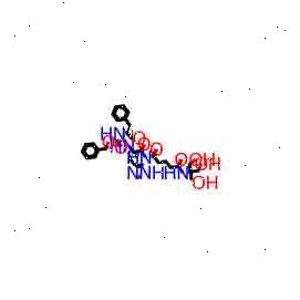 O=C(CCCC(=O)NC(CO)(CO)CO)NC(=O)[C@H](Cc1c[nH]cn1)NC(=O)[C@H](Cc1ccccc1)NC(=O)OCc1ccccc1